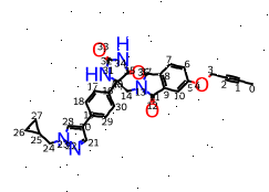 CC#CCOc1ccc2c(c1)C(=O)N(C[C@@]1(c3ccc(-c4cnn(CC5CC5)c4)cc3)NC(=O)NC1=O)C2